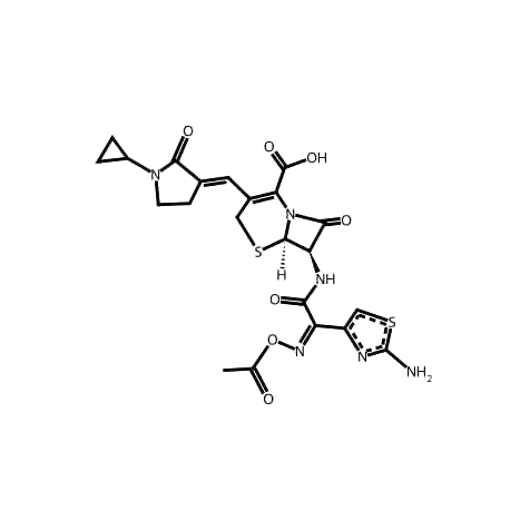 CC(=O)O/N=C(\C(=O)N[C@@H]1C(=O)N2C(C(=O)O)=C(/C=C3\CCN(C4CC4)C3=O)CS[C@H]12)c1csc(N)n1